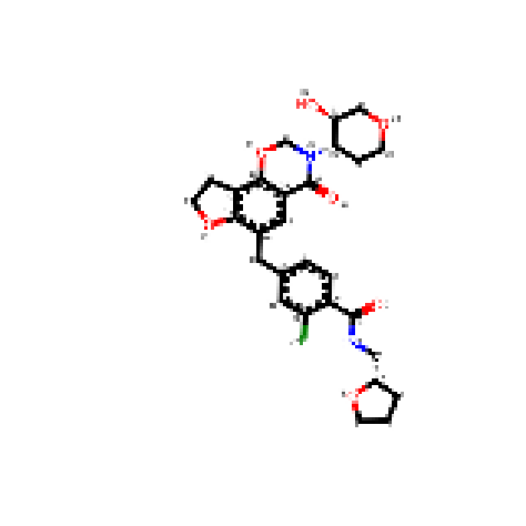 O=C(NC[C@@H]1CCCO1)c1ccc(Cc2cc3c(c4c2OCC4)OCN([C@H]2CCOC[C@@H]2O)C3=O)cc1F